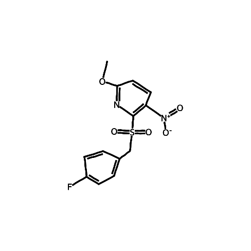 COc1ccc([N+](=O)[O-])c(S(=O)(=O)Cc2ccc(F)cc2)n1